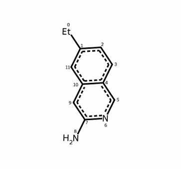 CCc1ccc2cnc(N)cc2c1